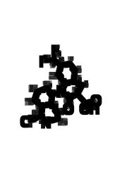 O=C(O)c1cc2ccc(C(F)F)cc2n(-c2cccc3c(Cl)nccc23)c1=O